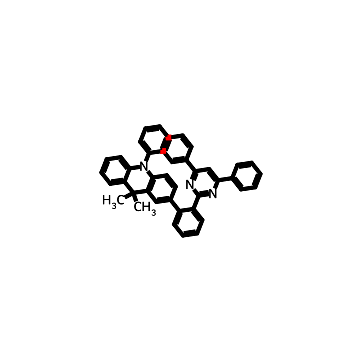 CC1(C)c2ccccc2N(c2ccccc2)c2ccc(-c3ccccc3-c3nc(-c4ccccc4)cc(-c4ccccc4)n3)cc21